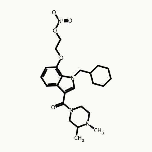 CC1CN(C(=O)c2cn(CC3CCCCC3)c3c(OCCO[N+](=O)[O-])cccc23)CCN1C